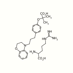 CC(C)(Oc1ccc(CCCN2CCOc3ccccc32)cc1)C(=O)O.N=C(N)NCCCC(N)C(=O)O